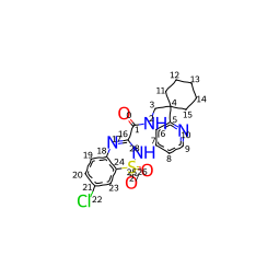 O=C(NCC1(c2ccccn2)CCCCC1)C1=Nc2ccc(Cl)cc2S(=O)(=O)N1